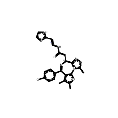 Cc1sc2c(c1C)C(c1ccc(Cl)cc1)=N[C@@H](CC(=O)N/C=C/c1ncc[nH]1)c1nnc(C)n1-2